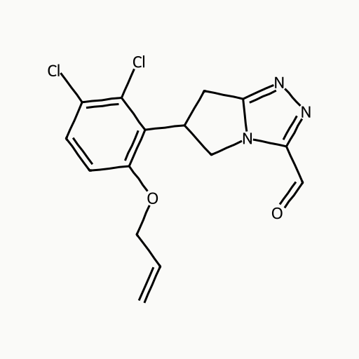 C=CCOc1ccc(Cl)c(Cl)c1C1Cc2nnc(C=O)n2C1